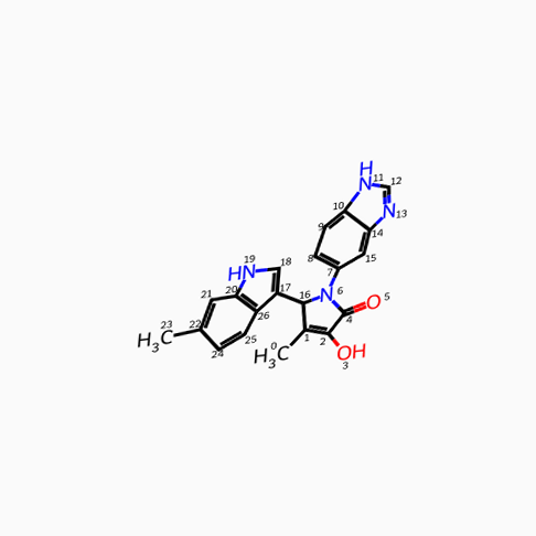 CC1=C(O)C(=O)N(c2ccc3[nH]cnc3c2)C1c1c[nH]c2cc(C)ccc12